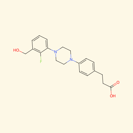 O=C(O)CCc1ccc(N2CCN(c3cccc(CO)c3F)CC2)cc1